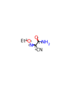 CCON=C(C#N)C(N)=O